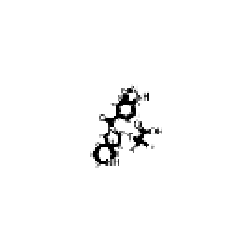 O=C(O)C(F)(F)F.O=C(c1ccc2[nH]nnc2c1)N1CCC2(CCCNC2)C1